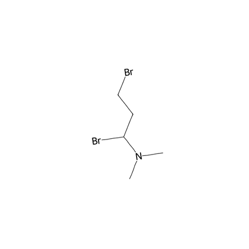 CN(C)C(Br)CCBr